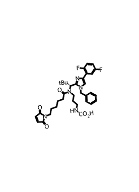 CC(C)(C)[C@H](c1nc(-c2cc(F)ccc2F)cn1Cc1ccccc1)N(CCCNC(=O)O)C(=O)CCCCCN1C(=O)C=CC1=O